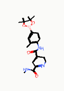 CNC(=O)c1cc(C(=O)Nc2ccc(B3OC(C)(C)C(C)(C)O3)cc2C)ccn1